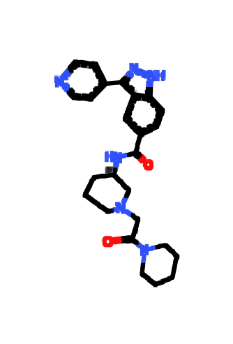 O=C(N[C@@H]1CCCN(CC(=O)N2CCCCC2)C1)c1ccc2[nH]nc(-c3ccncc3)c2c1